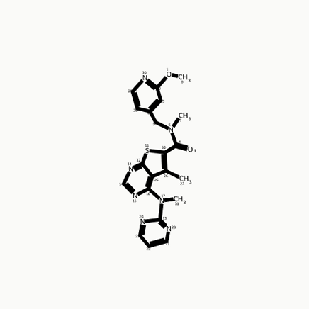 COc1cc(CN(C)C(=O)c2sc3ncnc(N(C)c4ncccn4)c3c2C)ccn1